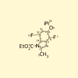 CCOC(=O)n1c(C)cc2c(F)c(OC(C)C)cc(F)c21